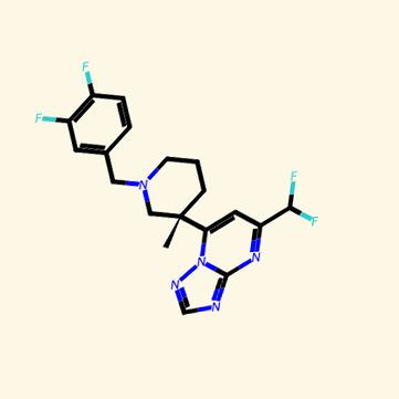 C[C@]1(c2cc(C(F)F)nc3ncnn23)CCCN(Cc2ccc(F)c(F)c2)C1